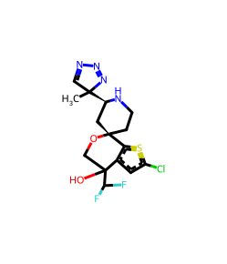 CC1([C@@H]2C[C@]3(CCN2)OCC(O)(C(F)F)c2cc(Cl)sc23)C=NN=N1